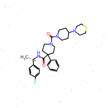 C[C@H](NC(=O)C1(c2ccccc2)CCN(C(=O)N2CCC(N3CCSCC3)CC2)CC1)c1ccc(F)cc1